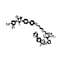 C[C@H](NC(=O)[C@@H]1CCCN1C(=O)C(NC(=O)COCCCCOc1ccc(-c2ccc(N3C(=S)N(c4ccc(C#N)c(Cl)c4)C(=O)C3(C)C)cc2)cc1)C(C)(C)C)c1ccc(-c2cnco2)cc1